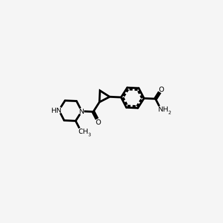 CC1CNCCN1C(=O)C1CC1c1ccc(C(N)=O)cc1